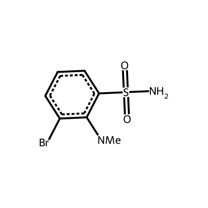 CNc1c(Br)cccc1S(N)(=O)=O